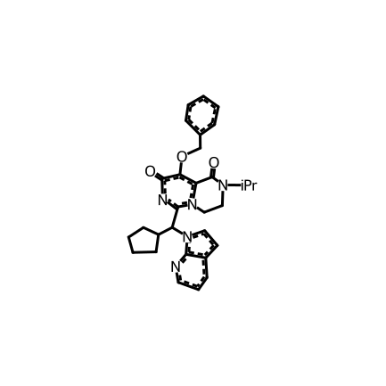 CC(C)N1CCn2c(C(C3CCCC3)n3ccc4cccnc43)nc(=O)c(OCc3ccccc3)c2C1=O